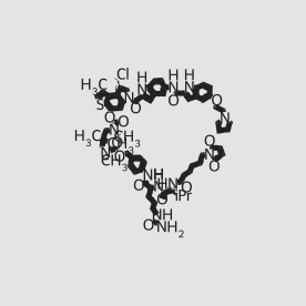 Cc1csc2c(OC(=O)N(C)CC(C)(C)CN(C)C(=O)OCc3ccc(NC(=O)C(CCCNC(N)=O)NC(=O)[C@@H](NC(=O)CCCCCN4C(=O)C=CC4=O)C(C)C)cc3)cc3c(c12)[C@H](CCl)CN3C(=O)c1cc2cc(NC(=O)c3cc4cc(OCCN5CCCC5)ccc4[nH]3)ccc2[nH]1